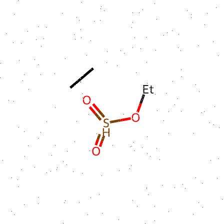 CC.CCO[SH](=O)=O